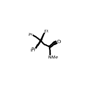 CCC(C(=O)NC)(C(C)C)C(C)C